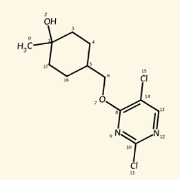 CC1(O)CCC(COc2nc(Cl)ncc2Cl)CC1